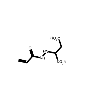 C=CC(=O)NNC(CC(=O)O)C(=O)O